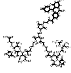 CC(=O)N[C@@H](C(=O)N[C@H](Cc1c[nH]cn1)C(=O)N[C@H](CCC(=O)O)C(=O)NCCOCC(=O)N[C@H](CSC1CC(=O)N(CCNC(=O)c2ccc(C(=O)O)c(-c3c4ccc(=O)cc-4oc4cc(O)ccc34)c2)C1=O)C(=O)NCCOCC(=O)N[C@@H](C(=O)N[C@H](Cc1c[nH]cn1)C(=O)N[C@H](CCCC(=O)O)C(N)=O)[C@H](C)O)[C@H](C)O